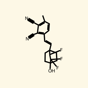 Cc1ccc(/C=C/C23CCC(O)(CC2)C(F)(F)C3F)c(C#N)c1C#N